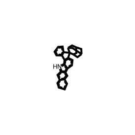 c1ccc2c(c1)-c1c(ccc3c1[nH]c1cc4ccccc4cc13)C21C2CC3CC(C2)CC1C3